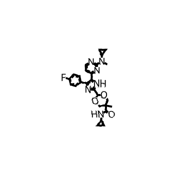 CN(c1nccc(-c2[nH]c(C3OCC(C)(C(=O)NC4CC4)CO3)nc2-c2ccc(F)cc2)n1)C1CC1